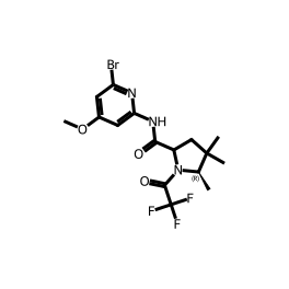 COc1cc(Br)nc(NC(=O)C2CC(C)(C)[C@@H](C)N2C(=O)C(F)(F)F)c1